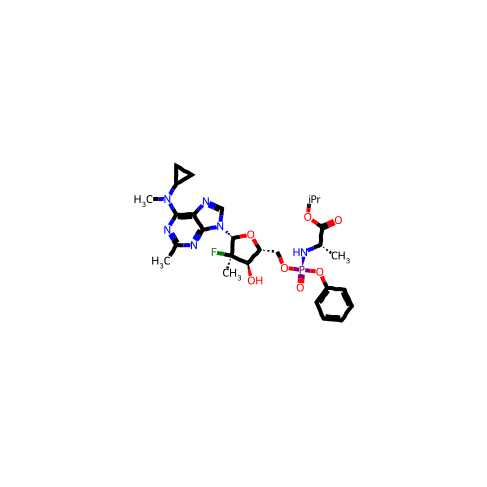 Cc1nc(N(C)C2CC2)c2ncn([C@@H]3O[C@H](CO[P@](=O)(N[C@@H](C)C(=O)OC(C)C)Oc4ccccc4)[C@@H](O)[C@@]3(C)F)c2n1